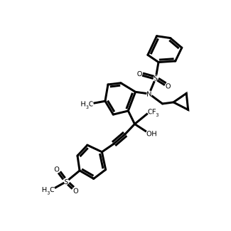 Cc1ccc(N(CC2CC2)S(=O)(=O)c2ccccc2)c(C(O)(C#Cc2ccc(S(C)(=O)=O)cc2)C(F)(F)F)c1